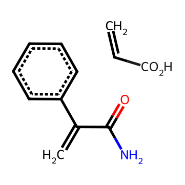 C=C(C(N)=O)c1ccccc1.C=CC(=O)O